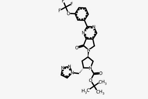 CC(C)(C)OC(=O)N1C[C@H](N2Cc3cnc(-c4cccc(OC(F)(F)F)c4)nc3C2=O)C[C@H]1Cn1ccnn1